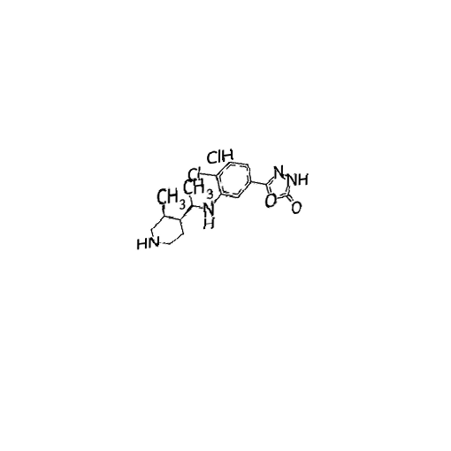 CC(Nc1cc(-c2n[nH]c(=O)o2)ccc1Cl)[C@H]1CCNC[C@H]1C.Cl